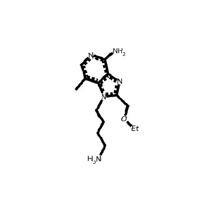 CCOCc1nc2c(N)ncc(C)c2n1CCCCN